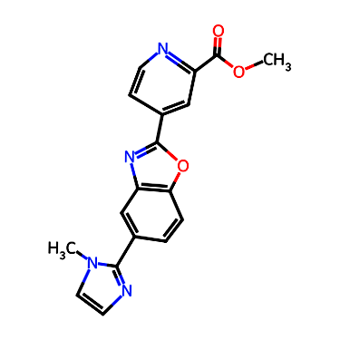 COC(=O)c1cc(-c2nc3cc(-c4nccn4C)ccc3o2)ccn1